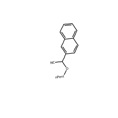 CCCCCOC(C#N)c1ccc2ccccc2c1